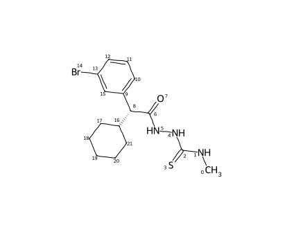 CNC(=S)NNC(=O)[C@@H](c1cccc(Br)c1)C1CCCCC1